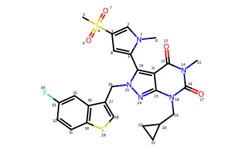 Cn1cc(S(C)(=O)=O)cc1-c1c2c(=O)n(C)c(=O)n(CC3CC3)c2nn1Cc1csc2ccc(F)cc12